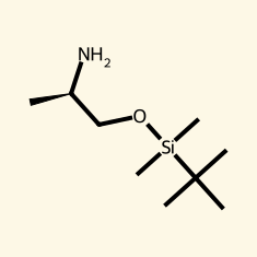 C[C@@H](N)CO[Si](C)(C)C(C)(C)C